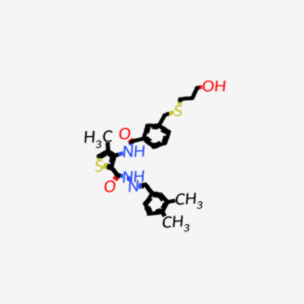 Cc1ccc(/C=N/NC(=O)c2scc(C)c2NC(=O)c2cccc(CSCCCO)c2)cc1C